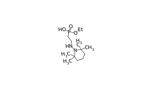 CCOP(=O)(O)CCNN1C(C)(C)CCCC1(C)C